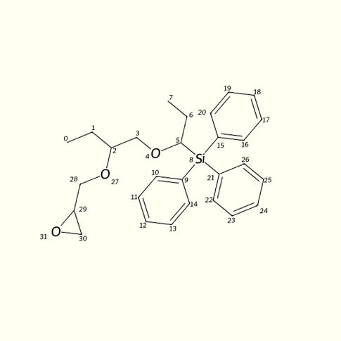 CCC(COC(CC)[Si](c1ccccc1)(c1ccccc1)c1ccccc1)OCC1CO1